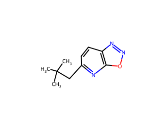 CC(C)(C)Cc1ccc2nnoc2n1